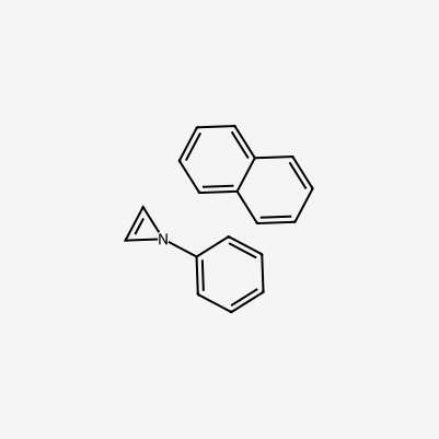 C1=CN1c1ccccc1.c1ccc2ccccc2c1